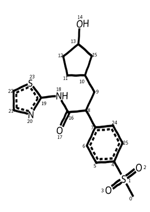 CS(=O)(=O)c1ccc(C(CC2CCC(O)C2)C(=O)Nc2nccs2)cc1